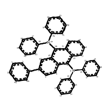 c1ccc(-c2ccc3c(N(c4ccccc4)c4ccccc4)c4ccccc4c(N(c4ccccc4)c4ccccc4)c3c2)cc1